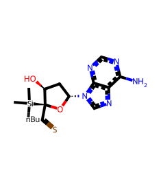 CCCC[Si](C)(C)[C@]1(C=S)O[C@@H](n2cnc3c(N)ncnc32)C[C@@H]1O